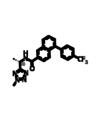 C[C@H](NC(=O)c1ccc2c(-c3ccc(C(F)(F)F)cc3)cccc2c1)c1nnn(C)n1